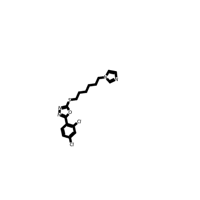 Clc1ccc(-c2nnc(SCCCCCCn3ccnc3)o2)c(Cl)c1